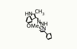 COc1ccc2[nH]c(C)c(C=NNc3nc(-c4ccccc4)cs3)c2c1